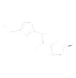 O=C(Nc1nc(CC(F)(F)F)cs1)[C@@H]1C[C@@H](F)CN1